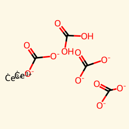 O=C(O)O.O=C([O-])[O-].O=C([O-])[O-].O=C([O-])[O-].[Ce+3].[Ce+3]